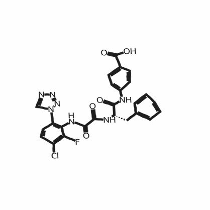 O=C(Nc1c(-n2cnnn2)ccc(Cl)c1F)C(=O)N[C@@H](Cc1ccccc1)C(=O)Nc1ccc(C(=O)O)cc1